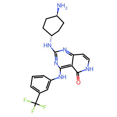 N[C@H]1CC[C@H](Nc2nc(Nc3cccc(C(F)(F)F)c3)c3c(=O)[nH]ccc3n2)CC1